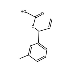 C=CC(OC(=O)O)c1cccc(C)c1